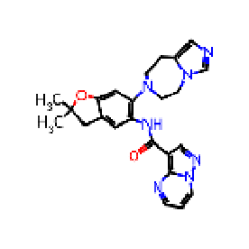 CC1(C)Cc2cc(NC(=O)c3cnn4cccnc34)c(N3CCc4cncn4CC3)cc2O1